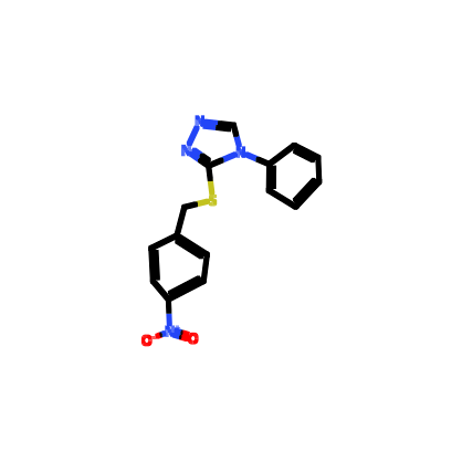 O=[N+]([O-])c1ccc(CSc2nncn2-c2ccccc2)cc1